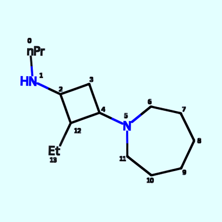 CCCNC1CC(N2CCCCCC2)C1CC